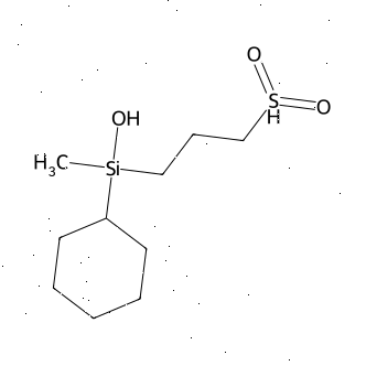 C[Si](O)(CCC[SH](=O)=O)C1CCCCC1